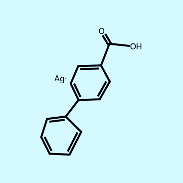 O=C(O)c1ccc(-c2ccccc2)cc1.[Ag]